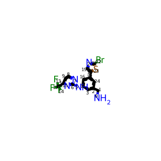 NCc1cc(Nc2nccc(C(F)(F)F)n2)cc(-c2cnc(Br)s2)c1